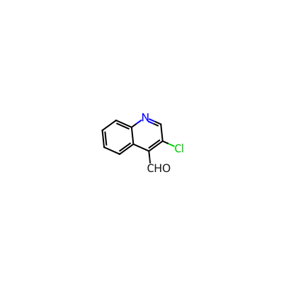 O=Cc1c(Cl)cnc2ccccc12